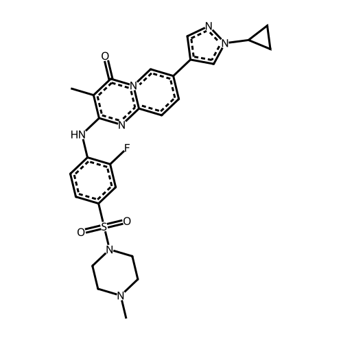 Cc1c(Nc2ccc(S(=O)(=O)N3CCN(C)CC3)cc2F)nc2ccc(-c3cnn(C4CC4)c3)cn2c1=O